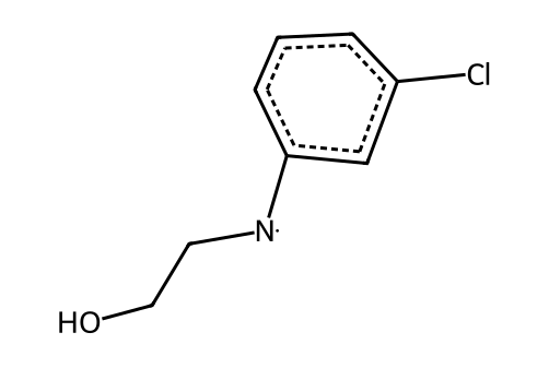 OCC[N]c1cccc(Cl)c1